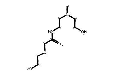 CN(CCO)CCNC(=O)COCC[O]